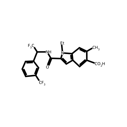 CCn1c(C(=O)NC(c2cccc(C(F)(F)F)c2)C(F)(F)F)cc2cc(C(=O)O)c(C)cc21